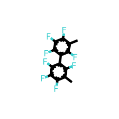 Cc1c(F)c(F)c(F)c(-c2c(F)c(C)c(F)c(F)c2F)c1F